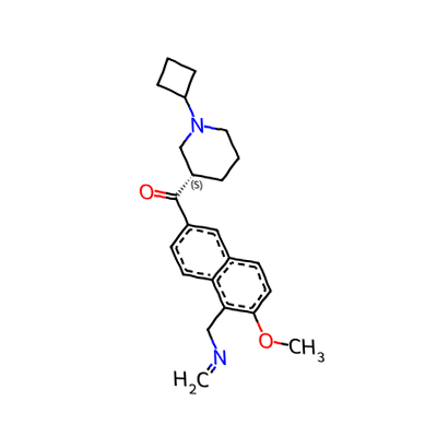 C=NCc1c(OC)ccc2cc(C(=O)[C@H]3CCCN(C4CCC4)C3)ccc12